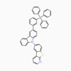 c1ccc([Si](c2ccccc2)(c2ccccc2)c2cccc(-c3ccc4c(c3)c3ccccc3n4-c3ccc4sc5ncccc5c4c3)c2)cc1